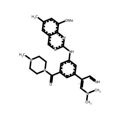 COc1cc(C)cc2cnc(Nc3cc(C(=O)N4CCN(C)CC4)cc(/C(C=N)=C/N(C)C)c3)nc12